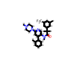 Cc1cc(C(F)(F)F)cc(C(C)(C)C(=O)N(C)c2cnc(N3CCN(C)CC3)cc2-c2ccccc2C)c1